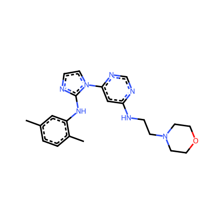 Cc1ccc(C)c(Nc2nccn2-c2cc(NCCN3CCOCC3)ncn2)c1